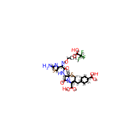 CCO/N=C(\C(=O)N[C@@H]1C(=O)N2C(C(=O)O)=C(Cc3ccc(C(=O)O)cc3)CS[C@H]12)c1csc(N)n1.O=C(O)C(F)(F)F